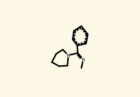 CN=C(c1ccccc1)N1CCCCC1